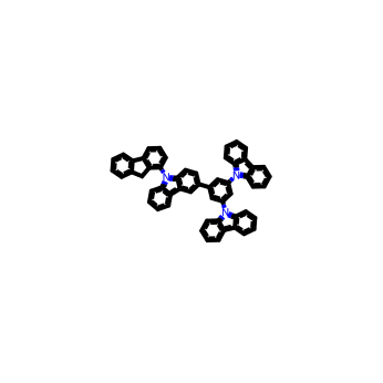 c1ccc2c(c1)Cc1c-2cccc1-n1c2ccccc2c2cc(-c3cc(-n4c5ccccc5c5ccccc54)cc(-n4c5ccccc5c5ccccc54)c3)ccc21